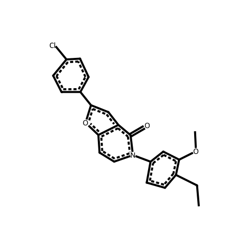 CCc1ccc(-n2ccc3oc(-c4ccc(Cl)cc4)cc3c2=O)cc1OC